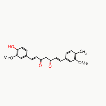 COc1cc(/C=C/C(=O)CC(=O)/C=C/c2ccc(O)c(OC)c2)ccc1C